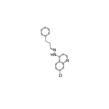 Clc1ccc2c(NN=CCCc3ccccc3)ccnc2c1